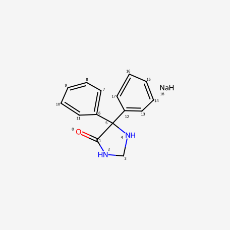 O=C1NCNC1(c1ccccc1)c1ccccc1.[NaH]